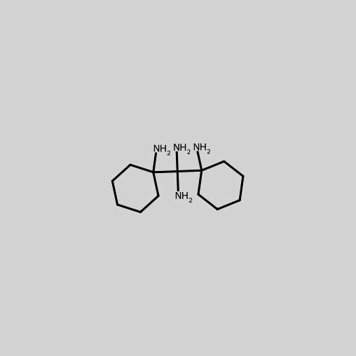 NC1(C(N)(N)C2(N)CCCCC2)CCCCC1